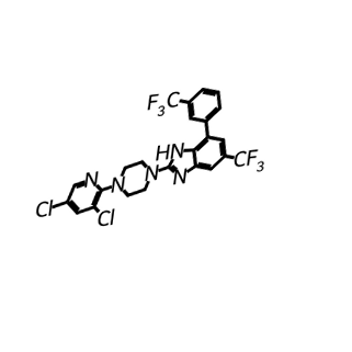 FC(F)(F)c1cccc(-c2cc(C(F)(F)F)cc3nc(N4CCN(c5ncc(Cl)cc5Cl)CC4)[nH]c23)c1